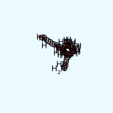 N=C(N)NCCC[C@@H]1NC(=O)[C@H](CS)NC(=O)[C@H](CCCCNC(=O)COCC(=O)NCCOCCOCCOCCOCCOCCNC(=O)CO/N=C/c2ccc(I)cc2)NC(=O)CCCSC[C@@H](C(=O)NCCOCCOCCOCCNC(=O)COCC(N)=O)NC(=O)[C@H](Cc2ccccc2)NC(=O)[C@H](CS)NC(=O)[C@H](CC(=O)O)NC(=O)CNC1=O